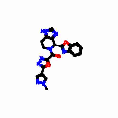 Cn1cc(-c2nnc(C(=O)N3CCc4[nH]cnc4[C@H]3c3nc4ccccc4o3)o2)cn1